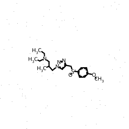 CCN(CC)CC(C)Cn1cc(C[S+]([O-])c2ccc(OC)cc2)nn1